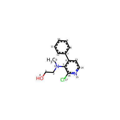 CN(CCO)c1c(-c2ccccc2)ccnc1Cl